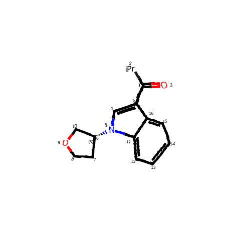 CC(C)C(=O)c1cn([C@@H]2CCOC2)c2ccccc12